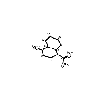 N#CC1CCC(C([NH])=O)C2CCCCC12